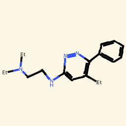 CCc1cc(NCCN(CC)CC)nnc1-c1ccccc1